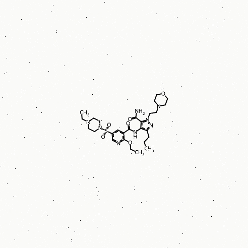 CCCc1nn(CCN2CCOCC2)c(C(N)=O)c1NC(=O)c1cc(S(=O)(=O)N2CCN(CC)CC2)cnc1OCC